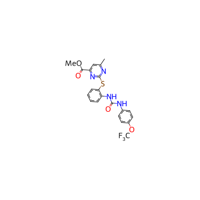 COC(=O)c1cc(C)nc(Sc2ccccc2NC(=O)Nc2ccc(OC(F)(F)F)cc2)n1